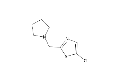 Clc1cnc(CN2CCCC2)s1